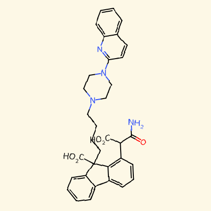 NC(=O)C(C(=O)O)c1cccc2c1C(CCCCN1CCN(c3ccc4ccccc4n3)CC1)(C(=O)O)c1ccccc1-2